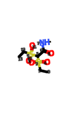 CCS(=O)(=O)C(C([NH])=O)S(=O)(=O)CC